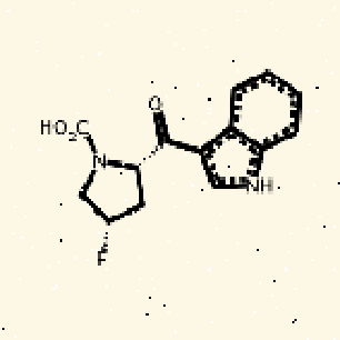 O=C(c1c[nH]c2ccccc12)[C@@H]1C[C@H](F)CN1C(=O)O